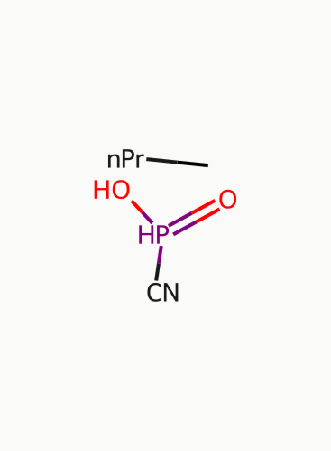 CCCC.N#C[PH](=O)O